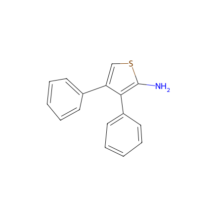 Nc1scc(-c2ccccc2)c1-c1ccccc1